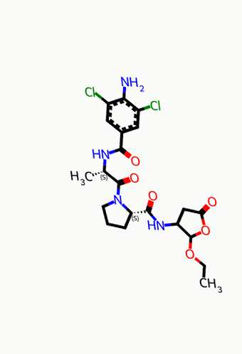 CCOC1OC(=O)CC1NC(=O)[C@@H]1CCCN1C(=O)[C@H](C)NC(=O)c1cc(Cl)c(N)c(Cl)c1